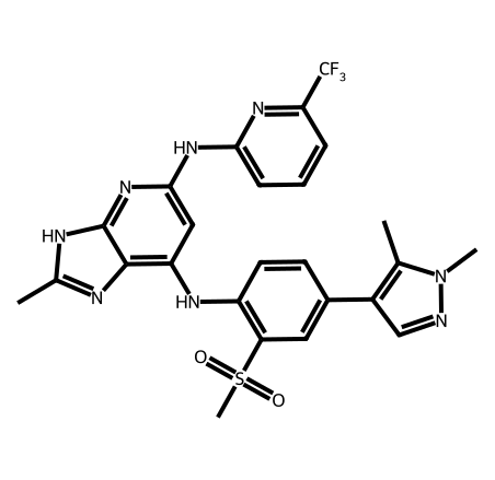 Cc1nc2c(Nc3ccc(-c4cnn(C)c4C)cc3S(C)(=O)=O)cc(Nc3cccc(C(F)(F)F)n3)nc2[nH]1